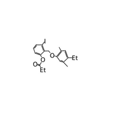 CCC(=O)Oc1cccc(I)c1COc1cc(C)c(CC)cc1C